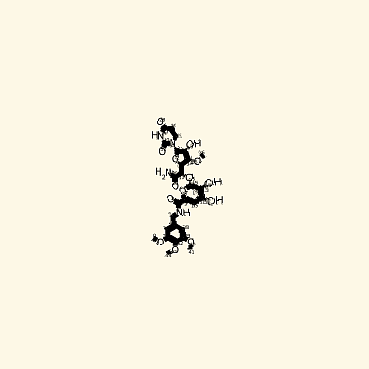 COc1cc(CNC(=O)C2=C[C@H](O)[C@H](O)[C@@H](O[C@@H](C(N)=O)[C@H]3O[C@@H](n4ccc(=O)[nH]c4=O)[C@H](O)[C@@H]3OC)O2)cc(OC)c1OC